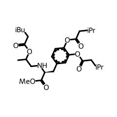 CCC(C)CC(=O)OC(C)CN[C@@H](Cc1ccc(OC(=O)CC(C)C)c(OC(=O)CC(C)C)c1)C(=O)OC